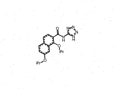 CC(C)Oc1ccc2ccc(C(=O)Nc3nnn[nH]3)c(OC(C)C)c2c1